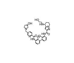 O=C(Nc1cccc(-c2cccc(NC(=O)c3cc4n(n3)CCCC4NCCO)c2Cl)c1Cl)c1ccc(CN2CC[C@@H](O)C2)cn1